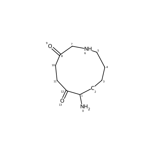 NC1CCCCNCC(=O)CCC1=O